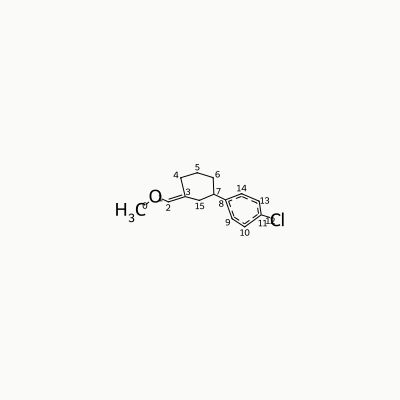 COC=C1CCCC(c2ccc(Cl)cc2)C1